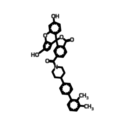 Cc1cccc(-c2ccc(C3CCN(C(=O)c4ccc5c(c4)C4(OC5=O)c5ccc(O)cc5Oc5cc(O)ccc54)CC3)cc2)c1C